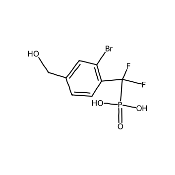 O=P(O)(O)C(F)(F)c1ccc(CO)cc1Br